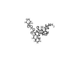 CC1(C(=O)OCOC(=O)C2=C(/C=C\c3cccnc3)CS[C@@H]3[C@H](NC(=O)/C(=N\O)c4csc(N)n4)C(=O)N23)CCCCC1